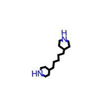 C(CCC1CCNCC1)CCC1CCNCC1